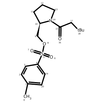 Cc1ccc(S(=O)(=O)OC[C@H]2CCCN2C(=O)CC(C)(C)C)cc1